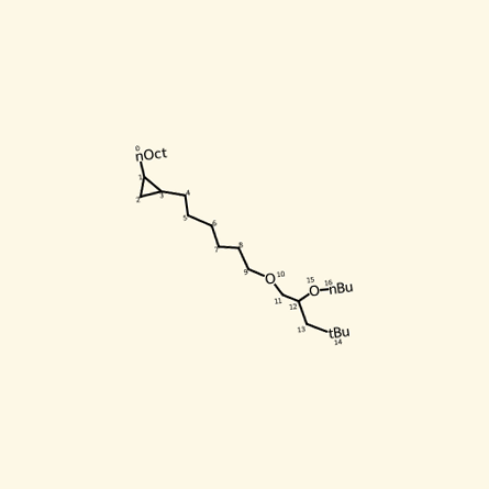 CCCCCCCCC1CC1CCCCCCOCC(CC(C)(C)C)OCCCC